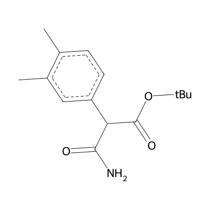 Cc1ccc(C(C(N)=O)C(=O)OC(C)(C)C)cc1C